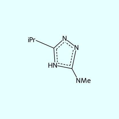 CNc1nnc(C(C)C)[nH]1